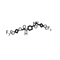 O=C(COC1CC(OC(F)(F)F)C1)NC1CCC(c2nnc(C3CC(OC(F)(F)F)C3)o2)CC1